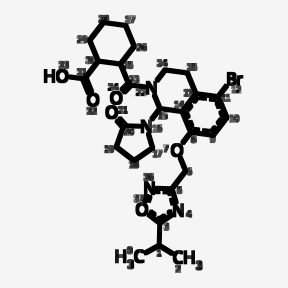 CC(C)c1nc(COc2ccc(Br)c3c2C(N2CCCC2=O)N(C(=O)C2CCCCC2C(=O)O)CC3)no1